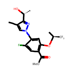 COC(=O)c1cc(F)c(-n2cc(C)c([C@@H](C)O)n2)cc1O[C@@H](C)C(F)(F)F